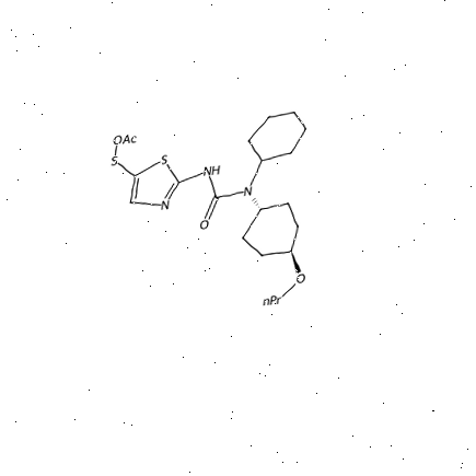 CCCO[C@H]1CC[C@H](N(C(=O)Nc2ncc(SOC(C)=O)s2)C2CCCCC2)CC1